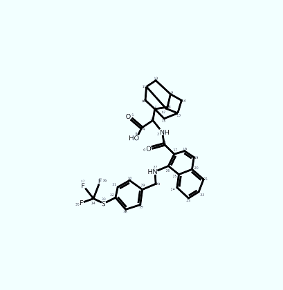 O=C(NC(C(=O)O)C12CC3CC(CC(C3)C1)C2)c1ccc2ccccc2c1NCc1ccc(SC(F)(F)F)cc1